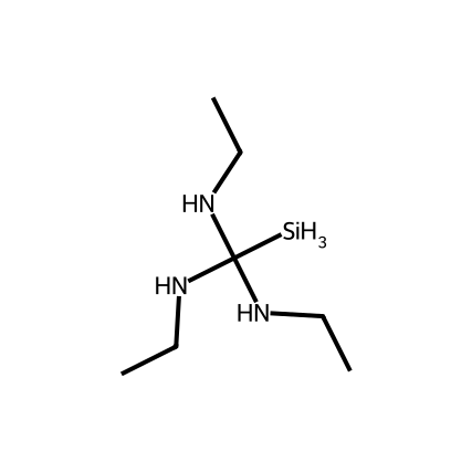 CCNC([SiH3])(NCC)NCC